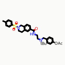 CC(=O)Oc1ccc(CN(CCNC(=O)c2ccc3c(c2)CCN(S(=O)(=O)c2ccc(C)cc2)C3)C(C)(C)C)cc1